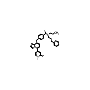 CCCN(CCCc1ccccn1)C(=O)c1ccc(Cc2ccc(-c3cc[nH]c(=O)c3)n3ccnc23)cc1